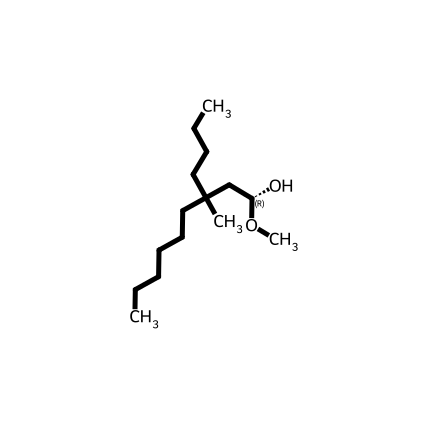 CCCCCCC(C)(CCCC)C[C@H](O)OC